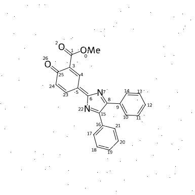 COC(=O)C1=CC(=C2N=C(c3ccccc3)C(c3ccccc3)=N2)C=CC1=O